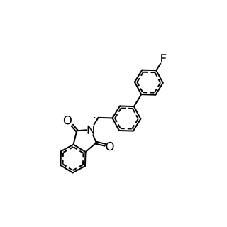 O=C1c2ccccc2C(=O)N1[CH]c1cccc(-c2ccc(F)cc2)c1